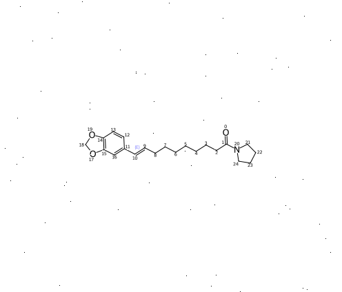 O=C(CCCCCCC/C=C/c1ccc2c(c1)OCO2)N1CCCC1